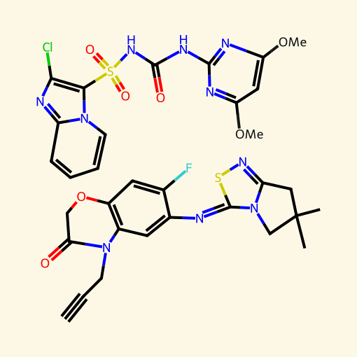 C#CCN1C(=O)COc2cc(F)c(/N=c3\snc4n3CC(C)(C)C4)cc21.COc1cc(OC)nc(NC(=O)NS(=O)(=O)c2c(Cl)nc3ccccn23)n1